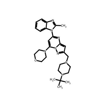 Cc1nc2ccccc2n1-c1cc(N2CCOCC2)n2nc(CN3CCN(C(C)(C)C)CC3)cc2n1